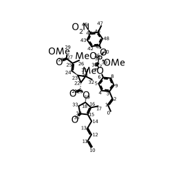 C/C=C/c1ccc(OC)cc1.C=C/C=C/CC1=C(C)[C@@H](OC(=O)[C@@H]2[C@@H](/C=C(\C)C(=O)OC)C2(C)C)CC1=O.COP(=S)(OC)Oc1ccc([N+](=O)[O-])c(C)c1